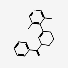 Cc1cncc(C)c1C1=CC(C(=O)c2ccccc2)CCC1